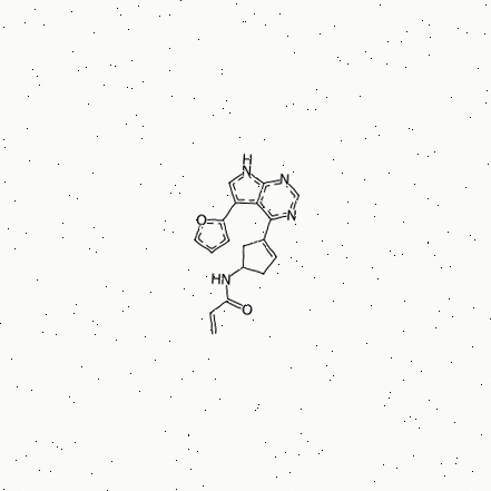 C=CC(=O)NC1CC=C(c2ncnc3[nH]cc(-c4ccco4)c23)C1